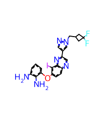 Nc1cccc(Oc2ccc3ncc(-c4cnn(CC5CC(F)(F)C5)c4)nc3c2I)c1N